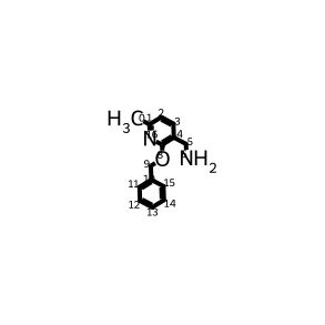 Cc1ccc(CN)c(OCc2ccccc2)n1